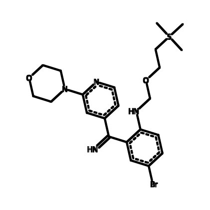 CS(C)(C)CCOCNc1ccc(Br)cc1C(=N)c1ccnc(N2CCOCC2)c1